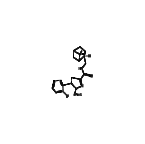 CCCCCN1N=C(C(=O)NC[C@@H]2CCC3CC2C3(C)C)CC1c1ccccc1F